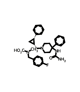 CN(Cc1ccc(F)cc1)C(=O)O.NC(=O)NC1(c2ccccc2)CCN(C[C@@H]2C[C@@H]2c2ccccc2)CC1